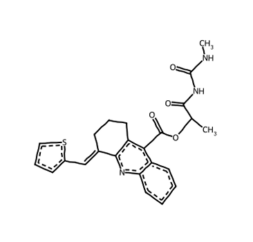 CNC(=O)NC(=O)C(C)OC(=O)c1c2c(nc3ccccc13)/C(=C/c1cccs1)CCC2